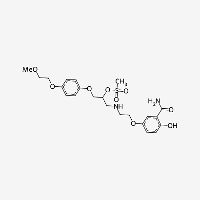 COCCOc1ccc(OCC(CNCCOc2ccc(O)c(C(N)=O)c2)OS(C)(=O)=O)cc1